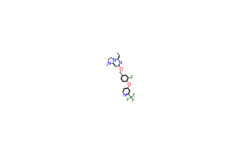 C/C=C1/N=C(OCc2ccc(Oc3ccnc(C(F)(F)F)c3)c(F)c2)C=C2N1C[C@@H](C)N2C